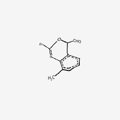 CCC1=Nc2c(C)cccc2C(C=O)O1